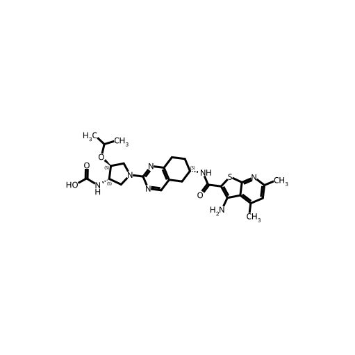 Cc1cc(C)c2c(N)c(C(=O)N[C@H]3CCc4nc(N5C[C@H](NC(=O)O)[C@@H](OC(C)C)C5)ncc4C3)sc2n1